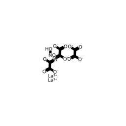 O=C([O-])C(=O)[O-].O=C([O-])C(=O)[O-].O=C([O-])C(=O)[O-].O=[N+]([O-])O.[La+3].[La+3]